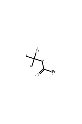 CCC(C)(C)CC(=O)C(C)C